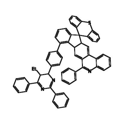 CCC1C(c2ccccc2)=NC(c2ccccc2)=NC1c1ccc(-c2cccc3c2C2C=c4c(-c5ccccc5)nc5ccccc5c4=CC2C32c3ccccc3Sc3ccccc32)cc1